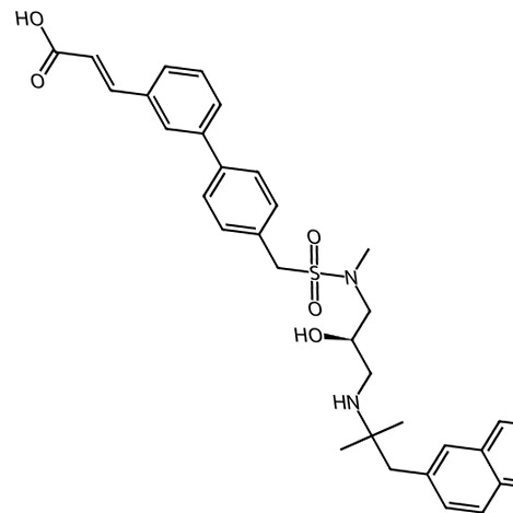 CN(C[C@H](O)CNC(C)(C)Cc1ccc2ccccc2c1)S(=O)(=O)Cc1ccc(-c2cccc(C=CC(=O)O)c2)cc1